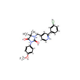 CC1(C)C(=O)N(c2ccc(OC(F)(F)F)cc2)C(=O)N1Cc1ccnc(-c2cccc(Cl)c2)c1